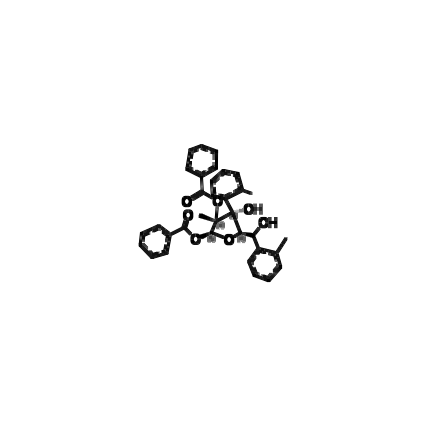 Cc1ccccc1C(O)[C@H]1O[C@@H](OC(=O)c2ccccc2)[C@](C)(OC(=O)c2ccccc2)[C@@]1(O)c1ccccc1C